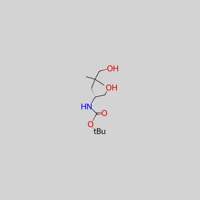 CC(C)(CO)C[C@H](CO)NC(=O)OC(C)(C)C